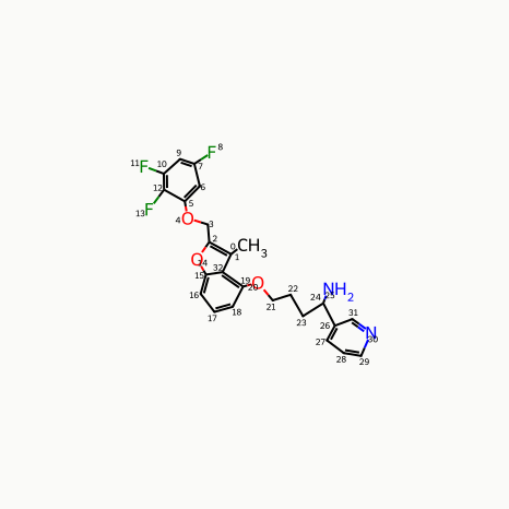 Cc1c(COc2cc(F)cc(F)c2F)oc2cccc(OCCCC(N)c3cccnc3)c12